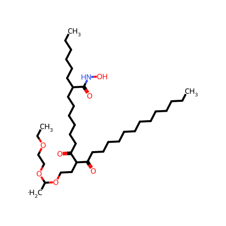 [CH2]C(OCCOCC)OCCC(C(=O)CCCCCCCCCCCCC)C(=O)CCCCCCC(CCCCCC)C(=O)NO